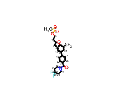 CS(=O)(=O)OCCc1cc2cc(-c3ccc(C(=O)N4CCC(F)(F)CC4)cc3)cc(C(F)(F)F)c2o1